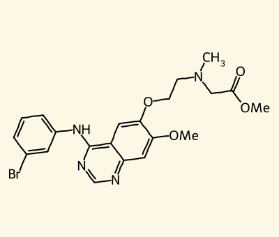 COC(=O)CN(C)CCOc1cc2c(Nc3cccc(Br)c3)ncnc2cc1OC